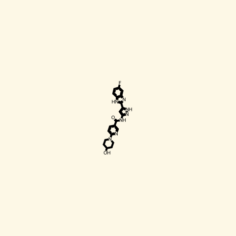 O=C(Nc1cc(-c2nc3cc(F)ccc3[nH]2)[nH]n1)c1ccc(N2CCC(O)CC2)nc1